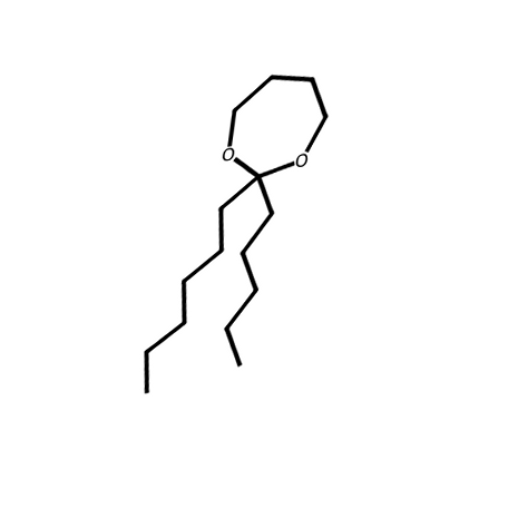 CCCCCCC1(CCCCC)OCCCCO1